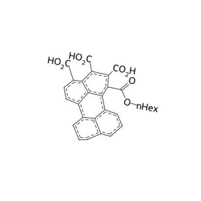 CCCCCCOC(=O)c1c(C(=O)O)c(C(=O)O)c2c(C(=O)O)ccc3c4cccc5cccc(c1c23)c54